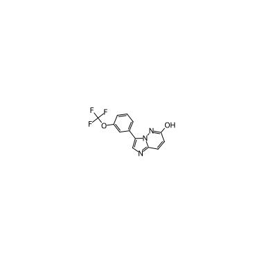 Oc1ccc2ncc(-c3cccc(OC(F)(F)F)c3)n2n1